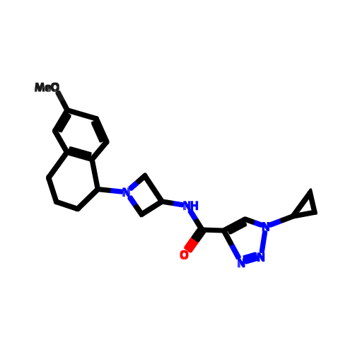 COc1ccc2c(c1)CCCC2N1CC(NC(=O)c2cn(C3CC3)nn2)C1